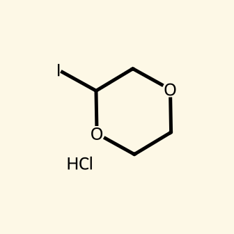 Cl.IC1COCCO1